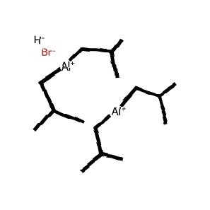 CC(C)[CH2][Al+][CH2]C(C)C.CC(C)[CH2][Al+][CH2]C(C)C.[Br-].[H-]